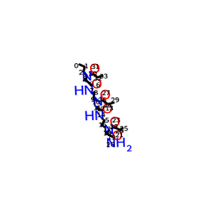 CCCN(CC(=O)NCCN(CC(=O)NCCN(CC(N)=O)C(=O)CC)C(=O)CC)C(=O)CC